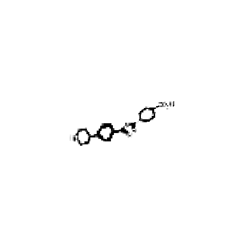 CCOC(=O)[C@H]1CC[C@H](c2nnc(-c3ccc(C4CCNCC4)cc3)s2)CC1